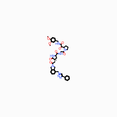 COc1ccc(CNC(=O)C(=O)C2CCCN2C(=O)CNC(=O)C2C[C@@H](CC(=O)N3Cc4cccc(Cn5cc(-c6ccccc6)nn5)c4C3)C(=O)N2)cc1OC